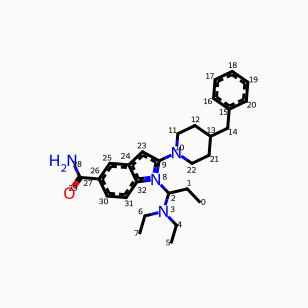 CCC(N(CC)CC)n1c(N2CCC(Cc3ccccc3)CC2)cc2cc(C(N)=O)ccc21